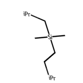 CC(C)CC[Si](C)(C)CC(C)C